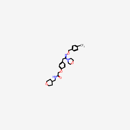 O=C(COc1ccc(CC(=NOCc2ccc(C(F)(F)F)cc2)N2CCOCC2)cc1)NCC1CCOCC1